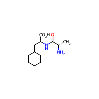 C[C@H](N)C(=O)N[C@@H](CC1CCCCC1)C(=O)O